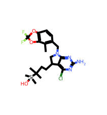 Cc1c(CN2CC(CCC(C)(C)[Si](C)(C)O)c3c(Cl)nc(N)nc32)ccc2c1OC(F)(F)O2